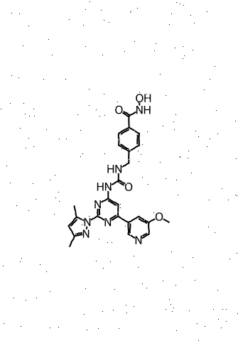 COc1cncc(-c2cc(NC(=O)NCc3ccc(C(=O)NO)cc3)nc(-n3nc(C)cc3C)n2)c1